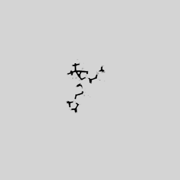 [2H]C([2H])([2H])C1(C([2H])([2H])[2H])[C@@H]2[C@@H](C(=O)N[C@H](C#N)CN3CC(=O)NC3=O)N(C(=O)[C@@H](NC(=O)C(F)(F)F)C(C)(C)C)C[C@@H]21